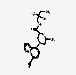 CC1CN(c2ccc(C#N)n3nccc23)CC(C(=O)NCC(C)(C)CN)O1